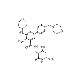 Cc1c(NC2CCOCC2)cc(-c2ccc(CN3CCOCC3)cc2)cc1C(=O)NCC1C(=O)NC(C)CC1C